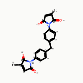 CCC1=CC(=O)N(c2ccc(Cc3ccc(N4C(=O)C=C(CC)C4=O)cc3)cc2)C1=O